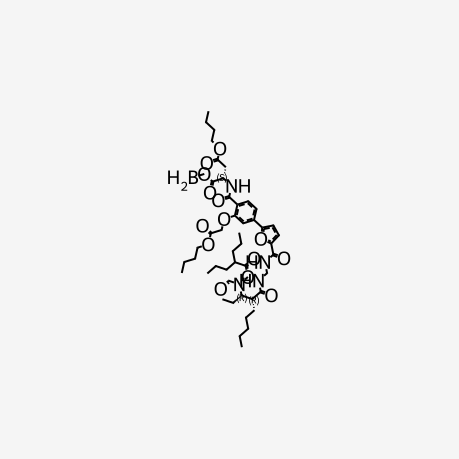 BOC(=O)[C@H](CC(=O)OCCCC)NC(=O)c1ccc(-c2ccc(C(=O)NCNC(=O)[C@H](CCCCC)[C@@H](CC)N(C=O)OC(=O)C(CCC)CCC)o2)cc1OCC(=O)OCCCC